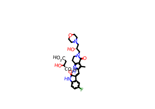 Cc1c(/C=C2\C(=O)Nc3ccc(F)cc32)[nH]c2c1C(=O)N(C[C@H](O)CN1CCOCC1)CC2.O=C(O)CC(O)C(=O)O